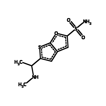 CNC(C)c1cc2cc(S(N)(=O)=O)oc2s1